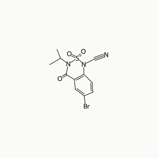 CC(C)N1C(=O)c2cc(Br)ccc2N(C#N)S1(=O)=O